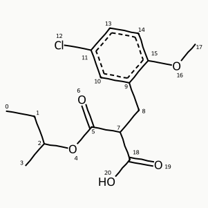 CCC(C)OC(=O)C(Cc1cc(Cl)ccc1OC)C(=O)O